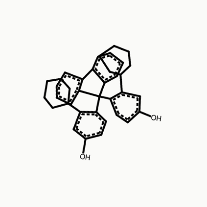 Oc1ccc(C2(c3ccc(O)cc3C3CCCCC3)c3ccccc3-c3ccccc32)c(C2CCCCC2)c1